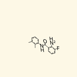 Cc1cccc(NC(=O)c2cccc(F)c2N)c1C